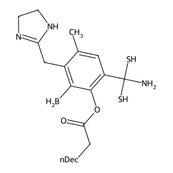 Bc1c(CC2=NCCN2)c(C)cc(C(N)(S)S)c1OC(=O)CCCCCCCCCCC